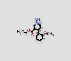 CCOC(=O)c1c[n+](N)ccc1-c1ccccc1OC